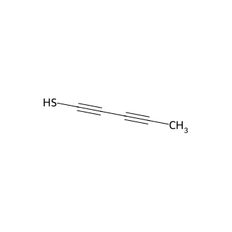 CC#CC#CS